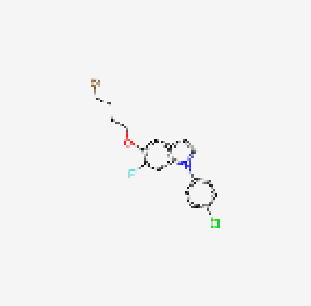 Fc1cc2c(ccn2-c2ccc(Cl)cc2)cc1OCCCCBr